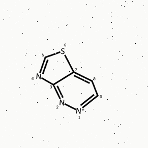 C1=[N+]N=c2ncsc2=C1